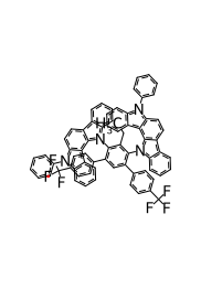 CCc1c(-n2c3ccccc3c3ccc4c(c5ccccc5n4-c4ccccc4)c32)c(-c2ccc(C(F)(F)F)cc2)cc(-c2ccc(C(F)(F)F)cc2)c1-n1c2ccccc2c2ccc3c(c4ccccc4n3-c3ccccc3)c21